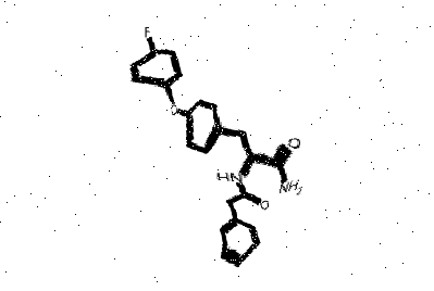 NC(=O)C(Cc1ccc(Oc2ccc(F)cc2)cc1)NC(=O)Cc1ccccc1